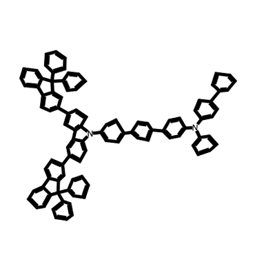 c1ccc(-c2ccc(N(c3ccccc3)c3ccc(-c4ccc(-c5ccc(-n6c7ccc(-c8ccc9c(c8)C(c8ccccc8)(c8ccccc8)c8ccccc8-9)cc7c7cc(-c8ccc9c(c8)C(c8ccccc8)(c8ccccc8)c8ccccc8-9)ccc76)cc5)cc4)cc3)cc2)cc1